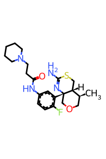 C[C@H]1COC[C@]2(c3cc(NC(=O)CCN4CCCCC4)ccc3F)N=C(N)SC[C@H]12